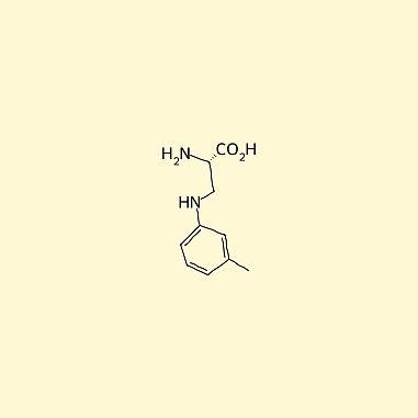 Cc1cccc(NC[C@H](N)C(=O)O)c1